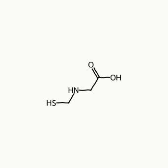 O=C(O)CNCS